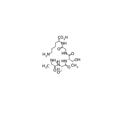 C[C@H](N)C(=O)N[C@@H](CO)C(=O)N[C@H](C(=O)NCC(=O)N[C@@H](CCCCN)C(=O)O)[C@@H](C)O